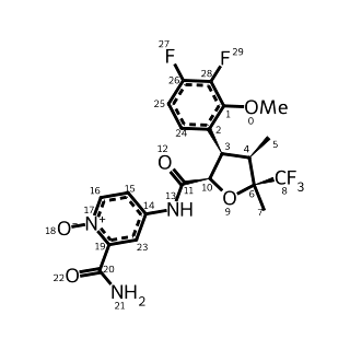 COc1c([C@H]2[C@@H](C)[C@@](C)(C(F)(F)F)O[C@H]2C(=O)Nc2cc[n+]([O-])c(C(N)=O)c2)ccc(F)c1F